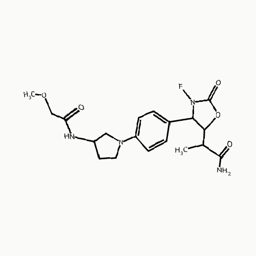 COCC(=O)NC1CCN(c2ccc(C3C(C(C)C(N)=O)OC(=O)N3F)cc2)C1